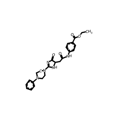 CCOC(=O)c1ccc(NC(=O)CC2NC(N3CCN(c4ccccc4)CC3)=NC2=O)cc1